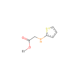 CCOC(=O)CPc1cccs1